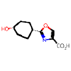 O=C(O)c1coc([C@H]2CC[C@@H](O)CC2)n1